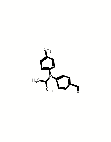 Cc1ccc(P(c2ccc(CF)cc2)C(C)C)cc1